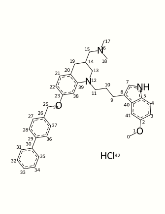 COc1ccc2[nH]cc(CCCN3CC(CN(C)C)Cc4ccc(OCc5ccc(-c6ccccc6)cc5)cc43)c2c1.Cl